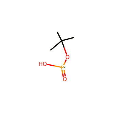 CC(C)(C)O[P](=O)O